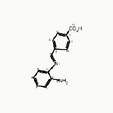 Nc1ccccc1N=Cc1ccc(C(=O)O)cc1